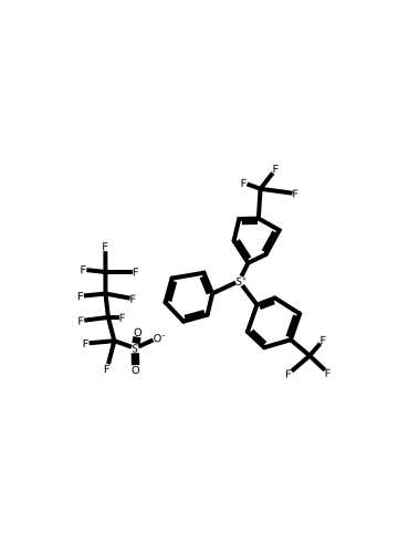 FC(F)(F)c1ccc([S+](c2ccccc2)c2ccc(C(F)(F)F)cc2)cc1.O=S(=O)([O-])C(F)(F)C(F)(F)C(F)(F)C(F)(F)F